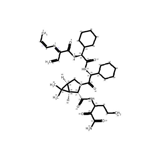 C=C/C(=N\C=C/C)C(=O)N[C@H](C(=O)N[C@H](C(=O)N1C[C@H]2[C@@H]([C@H]1C(=O)NC(CCC)C(=O)C(N)=O)C2(C)C)C1CCCCC1)C1CCCCC1